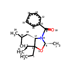 CCC1(CC)O[C@@H](C)N(C(=O)c2ccccc2)[C@H]1CC(C)C